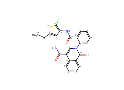 NC(=O)c1cn(-c2ccccc2C(=O)Nc2cc(CC(=O)O)sc2Cl)c(=O)c2ccccc12